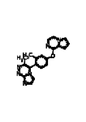 Cc1cc(Oc2nccn3cccc23)ccc1-c1c(C)nnc2nccn12